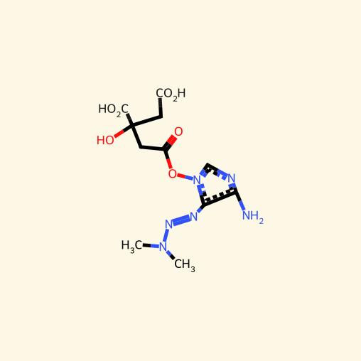 CN(C)N=Nc1c(N)ncn1OC(=O)CC(O)(CC(=O)O)C(=O)O